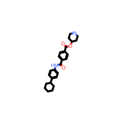 O=C(Nc1ccc(C2CCCCC2)cc1)c1ccc(C(=O)OC2CC[N]CC2)cc1